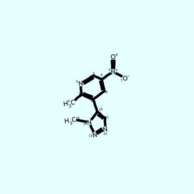 Cc1ncc([N+](=O)[O-])cc1-c1cnnn1C